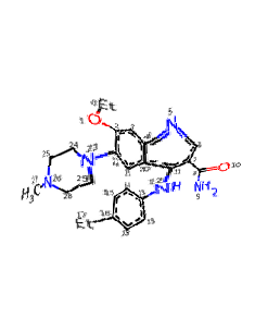 CCOc1cc2ncc(C(N)=O)c(Nc3ccc(CC)cc3)c2cc1N1CCN(C)CC1